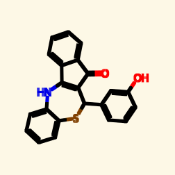 O=C1C2=C(Nc3ccccc3SC2c2cccc(O)c2)c2ccccc21